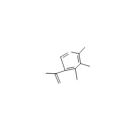 NC(=O)c1cnc(Cl)c(F)c1N